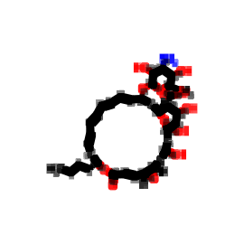 CCCC[C@@H]1C/C=C/C=C/C=C/C=C/[C@H](O[C@@H]2O[C@H](C)[C@@H](O)[C@H](N)[C@@H]2O)C[C@@H]2O[C@](O)(CC(O)C[C@H]3O[C@@H]3/C=C/C(=O)O1)C[C@H](O)[C@H]2C(=O)O